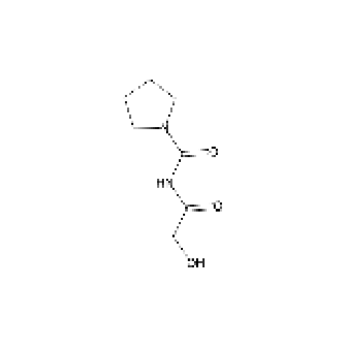 O=C(CO)NC(=O)N1CCCC1